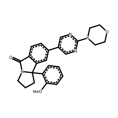 COc1ccccc1C12CCCN1C(=O)c1ccc(-c3cnc(N4CCOCC4)nc3)cc12